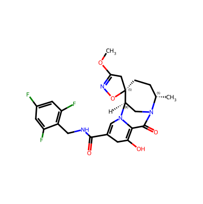 COC1=NO[C@@]2(CC[C@H](C)N3C[C@H]2N2C=C(C(=O)NCc4c(F)cc(F)cc4F)CC(O)=C2C3=O)C1